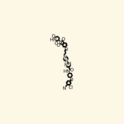 N#Cc1ccc(OC2CCC(NC(=O)c3cnc(N4CCN(CCCOc5ccc6c(c5)C(=O)N(C5CCC(=O)NC5=O)C6=O)CC4)nc3)CC2)cc1Cl